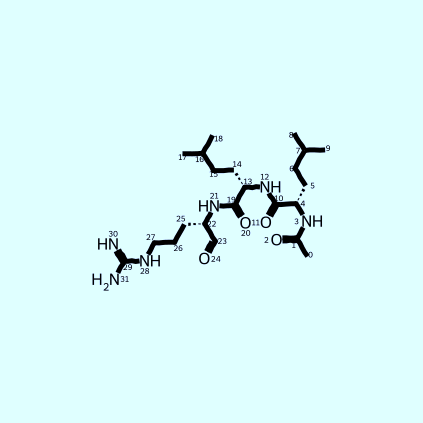 CC(=O)N[C@@H](CCC(C)C)C(=O)N[C@@H](CCC(C)C)C(=O)N[C@H](C=O)CCCNC(=N)N